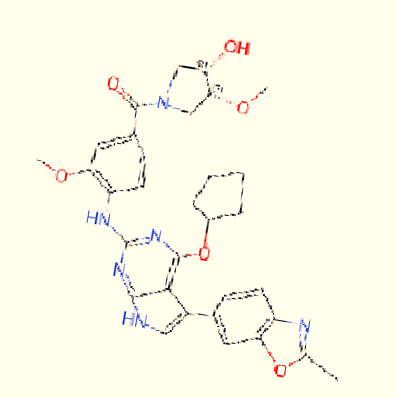 COc1cc(C(=O)N2C[C@H](O)[C@H](OC)C2)ccc1Nc1nc(OC2CCCC2)c2c(-c3ccc4nc(C)oc4c3)c[nH]c2n1